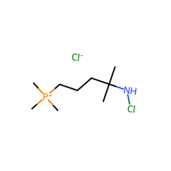 CC(C)(CCC[P+](C)(C)C)NCl.[Cl-]